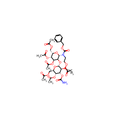 CCOCCN(C(=O)OCc1ccccc1)[C@H]1O[C@@H](COC(C)=O)[C@@H](OC(C)=O)[C@H](OC(C)=O)[C@@H]1O[C@H]1O[C@H](COC(C)=O)[C@@H](OC(C)=O)[C@@H](OC(N)=O)[C@@H]1OC(C)=O